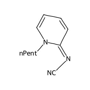 CCCCCn1ccccc1=NC#N